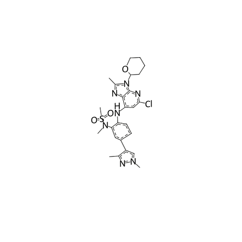 Cc1nn(C)cc1-c1ccc(Nc2cc(Cl)nc3c2nc(C)n3C2CCCCO2)c(N(C)S(C)(=O)=O)c1